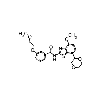 COCCOc1cc(C(=O)Nc2nc3c(OC)ccc(C4COCCO4)c3s2)ccn1